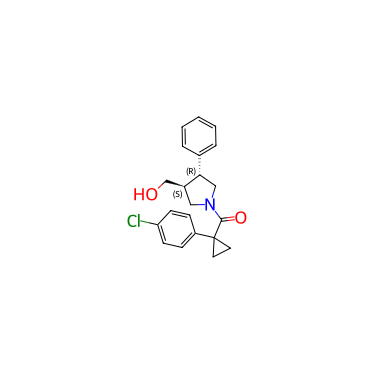 O=C(N1C[C@@H](CO)[C@H](c2ccccc2)C1)C1(c2ccc(Cl)cc2)CC1